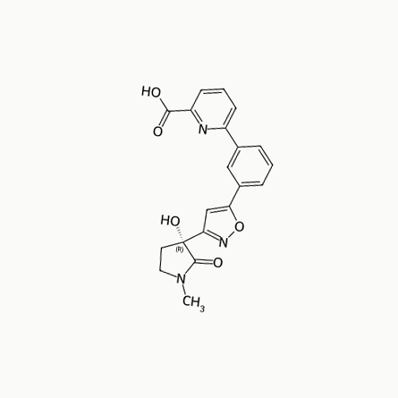 CN1CC[C@@](O)(c2cc(-c3cccc(-c4cccc(C(=O)O)n4)c3)on2)C1=O